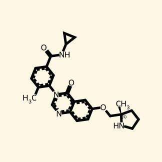 Cc1ccc(C(=O)NC2CC2)cc1-n1cnc2ccc(OC[C@]3(C)CCCN3)cc2c1=O